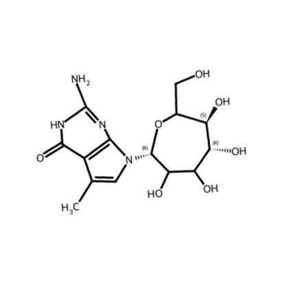 Cc1cn([C@@H]2OC(CO)[C@@H](O)[C@H](O)C(O)C2O)c2nc(N)[nH]c(=O)c12